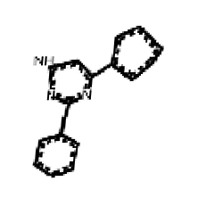 N.c1ccc(-c2ccnc(-c3ccccc3)n2)cc1